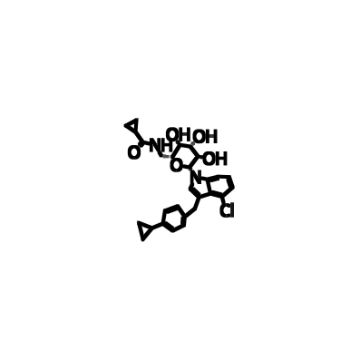 O=C(NC[C@H]1O[C@@H](n2cc(Cc3ccc(C4CC4)cc3)c3c(Cl)cccc32)[C@H](O)[C@@H](O)[C@@H]1O)C1CC1